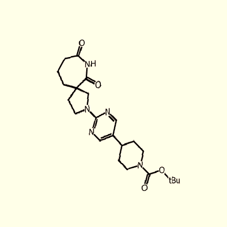 CC(C)(C)OC(=O)N1CCC(c2cnc(N3CCC4(CCCC(=O)NC4=O)C3)nc2)CC1